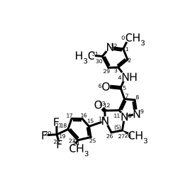 Cc1cc(NC(=O)c2cnn3c2C(=O)N(c2ccc(C(F)(F)F)c(C)c2)C[C@@H]3C)cc(C)n1